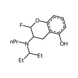 CCCN(C(CC)CC)C1Cc2c(O)cccc2OC1F